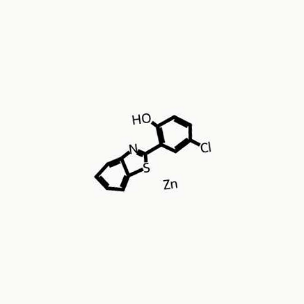 Oc1ccc(Cl)cc1-c1nc2ccccc2s1.[Zn]